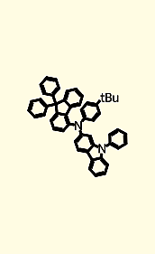 CC(C)(C)c1ccc(N(c2ccc3c4ccccc4n(-c4ccccc4)c3c2)c2cccc3c2-c2ccccc2C3(c2ccccc2)c2ccccc2)cc1